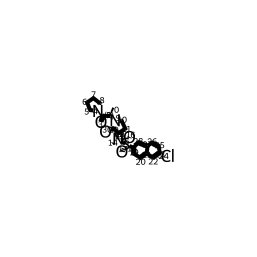 C[C@H](C(=O)N1CCCC1)N1CC[C@H](N(C)S(=O)(=O)c2ccc3cc(Cl)ccc3c2)C1=O